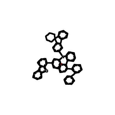 c1ccc(-c2ccccc2-c2ccccc2-c2ccccc2N(c2cccc(-c3cccc4c3oc3ccccc34)c2)c2ccc3c(c2)-c2ccccc2C32CCCCC2)cc1